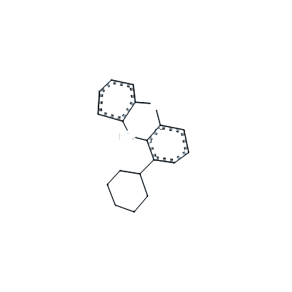 c1ccc2c(c1)Nc1c(cccc1C1CCCCC1)S2